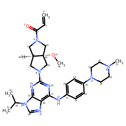 C=CC(=O)N1C[C@@H]2CN(c3nc(Nc4ccc(N5CCN(C)CC5)cc4)c4ncn(C(C)C)c4n3)C[C@]2(OC)C1